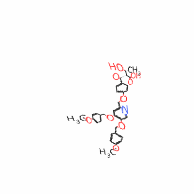 COc1ccc(COc2cnc(COc3ccc(C(=O)[C@@H](C(=O)O)[C@@H](C)O)cc3)cc2OCc2ccc(OC)cc2)cc1